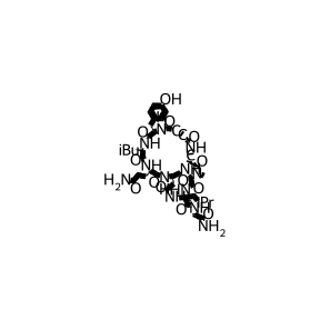 CC[C@H](C)[C@@H]1NC(=O)[C@H](Cc2ccc(O)cc2)NC(=O)CCC(=O)NC[C@@H](C(=O)N(C)CC(=O)NC(C)(CC(C)C)C(=O)NCC(N)=O)NC(=O)[C@H](CC(N)=O)NC(=O)[C@H](CCC(N)=O)NC1=O